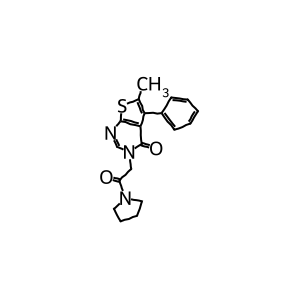 Cc1sc2ncn(CC(=O)N3CCCC3)c(=O)c2c1-c1ccccc1